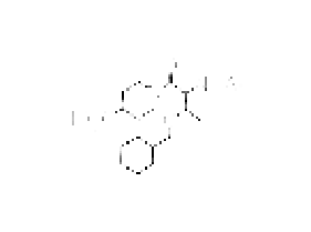 CC(=O)NC(C(=O)N1CCC(C(=O)O)CC1)C(C)OCC1CCCCC1